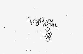 CCC(=O)N1CCCC(c2nc(-c3ccc(C(=O)Nc4ccccn4)cc3)c3c(N)nccn23)C1